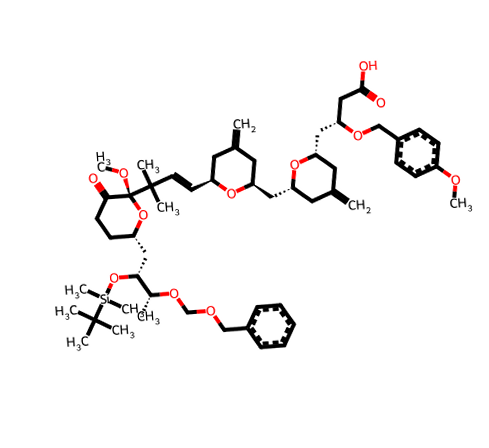 C=C1C[C@H](C[C@@H]2CC(=C)C[C@H](/C=C/C(C)(C)[C@]3(OC)O[C@H](C[C@@H](O[Si](C)(C)C(C)(C)C)[C@@H](C)OCOCc4ccccc4)CCC3=O)O2)O[C@H](C[C@H](CC(=O)O)OCc2ccc(OC)cc2)C1